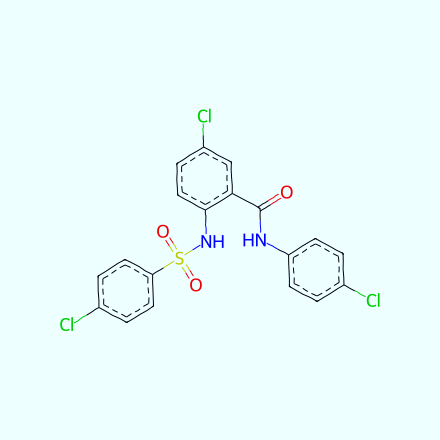 O=C(Nc1ccc(Cl)cc1)c1cc(Cl)ccc1NS(=O)(=O)c1ccc(Cl)cc1